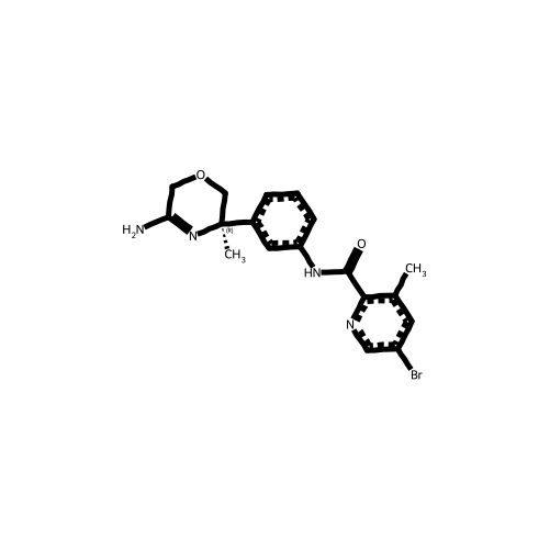 Cc1cc(Br)cnc1C(=O)Nc1cccc([C@]2(C)COCC(N)=N2)c1